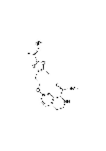 CCC/C=C(\C)c1nc(CCOc2ccc3c(c2)C(C(=O)OC)NCC3)c(C)o1